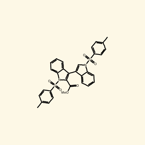 COC(=O)c1c(-c2cn(S(=O)(=O)c3ccc(C)cc3)c3ccccc23)c2ccccc2n1S(=O)(=O)c1ccc(C)cc1